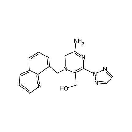 NC1=NC(n2nccn2)=C(CO)N(Cc2cccc3cccnc23)C1